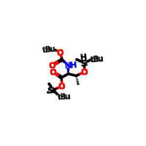 C[C@@H](O[SiH](C)C(C)(C)C)[C@H](NC(=O)OC(C)(C)C)C(=O)O[Si](C)(C)C(C)(C)C